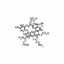 CSCC[C@H](N)C(=O)N[C@@H](Cc1ccc(O)cc1)C(=O)N[C@@H](CCCCN)C(=O)N[C@@H](CC(=O)O)C(=O)N[C@@H](CC(C)C)C(=O)N[C@@H](CCC(=O)O)C(=O)NCC(=O)O